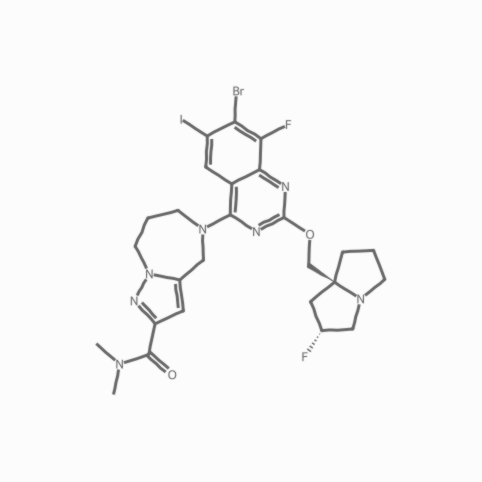 CN(C)C(=O)c1cc2n(n1)CCCN(c1nc(OC[C@@]34CCCN3C[C@H](F)C4)nc3c(F)c(Br)c(I)cc13)C2